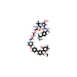 CCOC1=C(c2cc(-c3ccc(OC4CCN(CCOCCOCC(=O)N[C@H](C(=O)N5C[C@H](O)C[C@H]5C(=O)N[C@@H](C)c5ccc(-c6scnc6C)cc5)C(C)(C)C)CC4)cc3)ccc2C)C(=O)CC(C)(C)C1